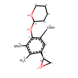 COc1cc([C@H]2CO2)c(C)c(OC)c1OC1CCCCO1